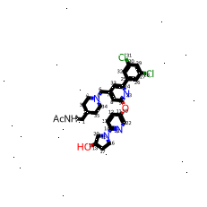 CC(=O)NCC1CCN(Cc2cc(Oc3ccc(N4CCC(O)C4)nc3)nc(-c3cc(Cl)cc(Cl)c3)c2)CC1